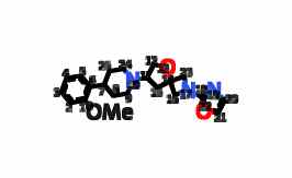 COc1ccccc1C1CCN(C2COC3(C2)CN(c2ncco2)C3)CC1